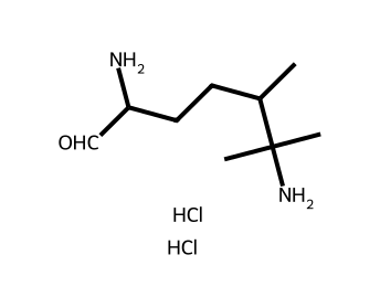 CC(CCC(N)C=O)C(C)(C)N.Cl.Cl